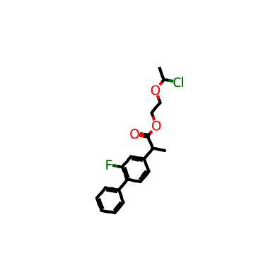 CC(Cl)OCCOC(=O)C(C)c1ccc(-c2ccccc2)c(F)c1